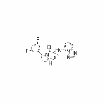 O=C1N2[C@@H](CC[C@H]2c2cc(F)cc(F)c2)OC12CN(c1cccc3ncnn13)C2